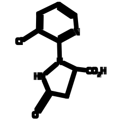 O=C1CC(C(=O)O)N(c2ncccc2Cl)N1